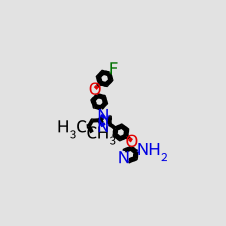 CC(C)Cc1nc(-c2ccc(Oc3cnccc3N)cc2)cn1-c1ccc(Oc2ccc(F)cc2)cc1